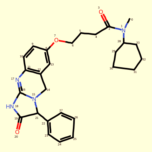 CN(C(=O)CCCOc1ccc2c(c1)CN1C(=N2)NC(=O)C1c1ccccc1)C1CCCCC1